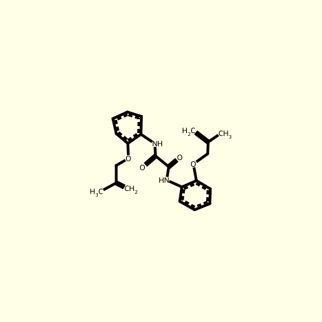 C=C(C)COc1ccccc1NC(=O)C(=O)Nc1ccccc1OCC(=C)C